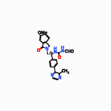 COc1ccc2c(c1)C(=O)N(C[C@H](NC(=O)NC=O)c1ccc(-c3nccnc3C)cc1)C2